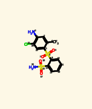 Nc1cc(C(F)(F)F)c(S(=O)(=O)c2ccccc2S(N)(=O)=O)cc1Cl